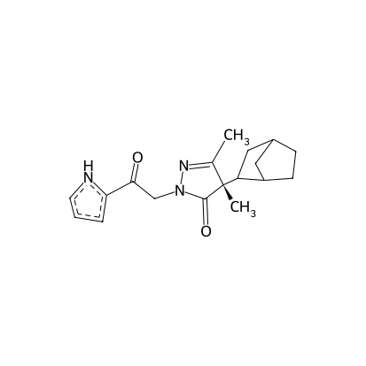 CC1=NN(CC(=O)c2ccc[nH]2)C(=O)[C@@]1(C)C1CC2CCC1C2